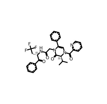 CC(C)[C@H]1C(=O)N(CC(=O)N[C@@H](CC(F)(F)F)C(=O)c2ccccc2)C(c2ccccc2)=CN1C(=O)c1ccccn1